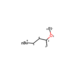 C[CH]OC(C)CCCCCC